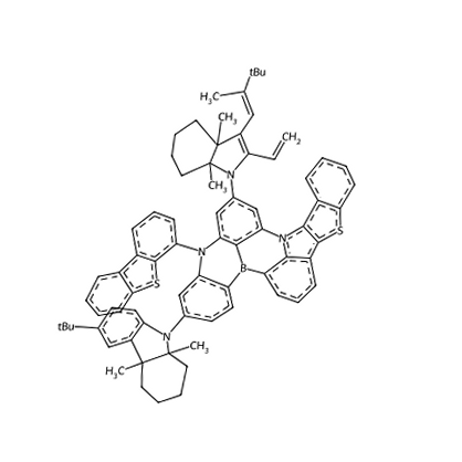 C=CC1=C(/C=C(\C)C(C)(C)C)C2(C)CCCCC2(C)N1c1cc2c3c(c1)-n1c4c(cccc4c4sc5ccccc5c41)B3c1ccc(N3c4ccc(C(C)(C)C)cc4C4(C)CCCCC34C)cc1N2c1cccc2c1sc1ccccc12